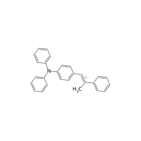 C/C(=C\c1ccc(N(c2ccccc2)c2ccccc2)cc1)c1ccccc1